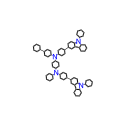 c1ccc(-c2ccc(N(c3ccc(-c4ccc5c(c4)c4ccccc4n5-c4ccccc4)cc3)c3ccc(N(c4ccccc4)c4ccc(-c5ccc6c(c5)c5ccccc5n6-c5ccccc5)cc4)cc3)cc2)cc1